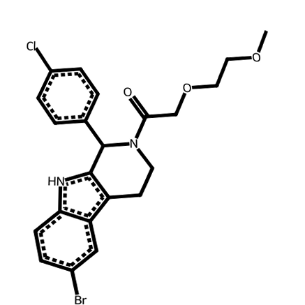 COCCOCC(=O)N1CCc2c([nH]c3ccc(Br)cc23)C1c1ccc(Cl)cc1